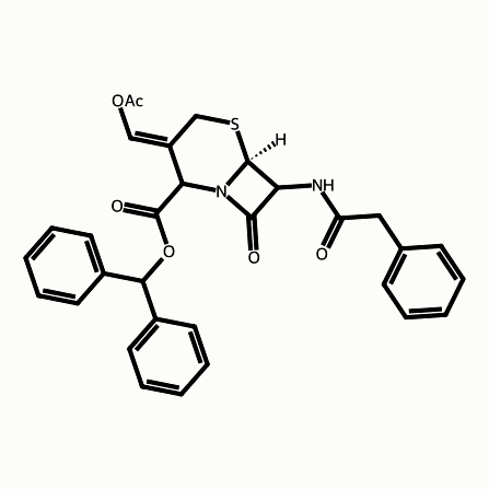 CC(=O)OC=C1CS[C@H]2C(NC(=O)Cc3ccccc3)C(=O)N2C1C(=O)OC(c1ccccc1)c1ccccc1